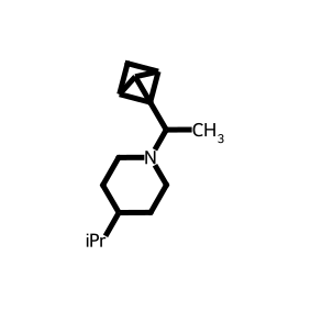 CC(C)C1CCN(C(C)C2C3CC2C3)CC1